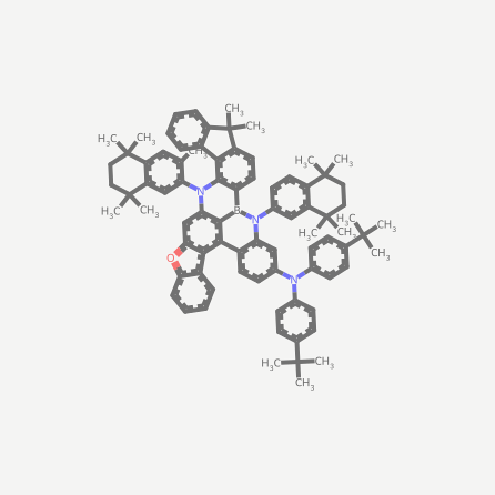 Cc1cc2c(cc1N1c3cc4oc5ccccc5c4c4c3B(c3ccc5c(c31)-c1ccccc1C5(C)C)N(c1ccc3c(c1)C(C)(C)CCC3(C)C)c1cc(N(c3ccc(C(C)(C)C)cc3)c3ccc(C(C)(C)C)cc3)ccc1-4)C(C)(C)CCC2(C)C